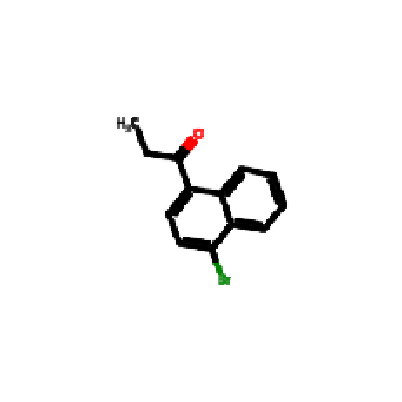 CCC(=O)c1ccc(Br)c2ccccc12